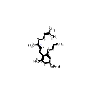 C=CCOc1cc(CCCCC)cc(O)c1C/C=C(\C)CCC=C(C)C